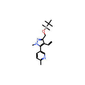 C=Cc1c(CO[Si](C)(C)C(C)(C)C)nn(C)c1-c1ccc(C)nc1